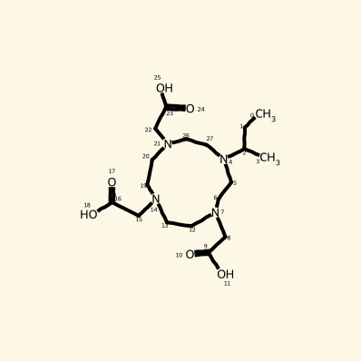 CCC(C)N1CCN(CC(=O)O)CCN(CC(=O)O)CCN(CC(=O)O)CC1